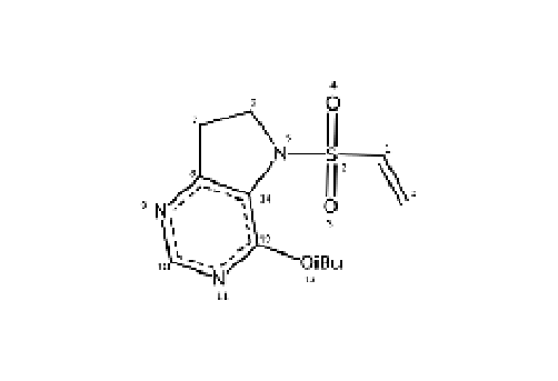 C=CS(=O)(=O)N1CCc2ncnc(OCC(C)C)c21